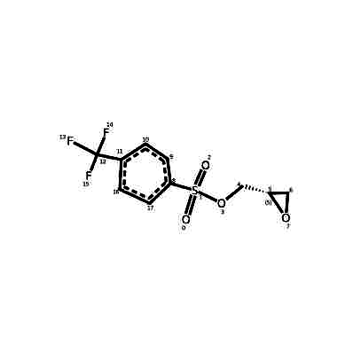 O=S(=O)(OC[C@@H]1CO1)c1ccc(C(F)(F)F)cc1